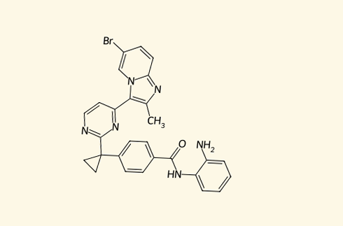 Cc1nc2ccc(Br)cn2c1-c1ccnc(C2(c3ccc(C(=O)Nc4ccccc4N)cc3)CC2)n1